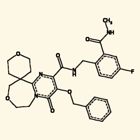 CNC(=O)c1cc(F)ccc1CNC(=O)c1nc2n(c(=O)c1OCc1ccccc1)CCOCC21CCOCC1